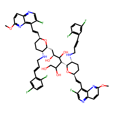 COc1ccc2ncc(F)c(/C=C/[C@@H]3CC[C@@H](NC/C=C/c4cc(F)ccc4F)[C@@H](C(C(O)CO)C(O)[C@@H](O)C[C@H]4O[C@H](/C=C/c5c(F)cnc6ccc(OC)nc56)CC[C@H]4NC/C=C/c4cc(F)ccc4F)O3)c2n1